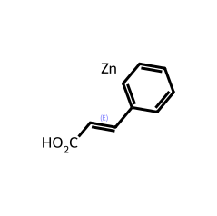 O=C(O)/C=C/c1ccccc1.[Zn]